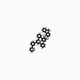 CC1(C)c2ccccc2-c2c1ccc1c2Oc2c(cccc2-c2ccccc2-c2cc(-c3cccc(-c4ccccn4)c3)cc(-c3ccccc3)n2)O1